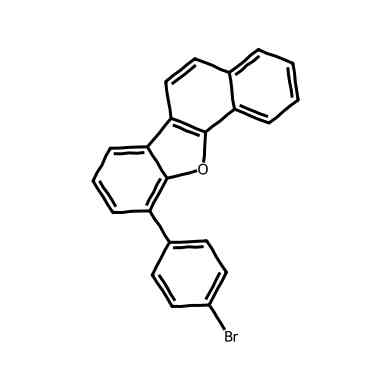 Brc1ccc(-c2cccc3c2oc2c4ccccc4ccc32)cc1